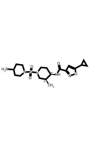 C[C@H]1CN(S(=O)(=O)N2CCC(N)CC2)CC[C@H]1NC(=O)c1cc(C2CC2)on1